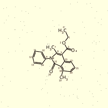 CCOC(=O)c1c(C)n(-c2ccccc2)c(=O)c2c(C)cccc12